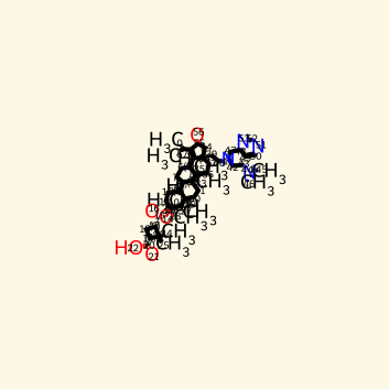 CC(C)C1=C2[C@H]3CC[C@@H]4[C@@]5(C)CC[C@H](OC(=O)[C@H]6C[C@@H](C(=O)O)C6(C)C)C(C)(C)[C@@H]5CC[C@@]4(C)[C@]3(C)CC[C@@]2(CCN(CCN(C)C)Cc2ccncn2)CC1=O